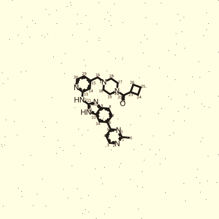 Cc1nccc(-c2ccc3nc(Nc4cc(CN5CCN(C(=O)C6CCC6)CC5)ccn4)[nH]c3c2)n1